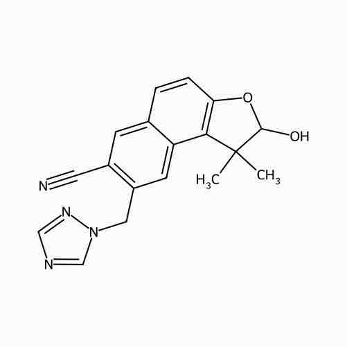 CC1(C)c2c(ccc3cc(C#N)c(Cn4cncn4)cc23)OC1O